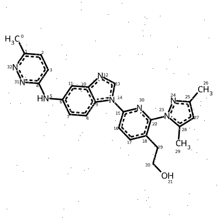 Cc1ccc(Nc2ccc3c(c2)ncn3-c2ccc(CCO)c(-n3nc(C)cc3C)n2)nn1